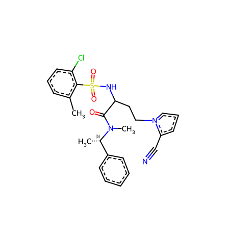 Cc1cccc(Cl)c1S(=O)(=O)NC(CCn1cccc1C#N)C(=O)N(C)[C@@H](C)c1ccccc1